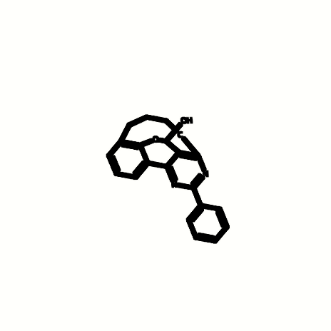 OC1Oc2c3cccc2-c2nc(-c4ccccc4)nc(c21)CCCC3